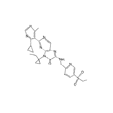 CCC1(n2c(=O)c(NCc3ccc(S(=O)(=O)CC)cn3)nc3cnc(-c4c(C)ncnc4C4CC4)nc32)CC1